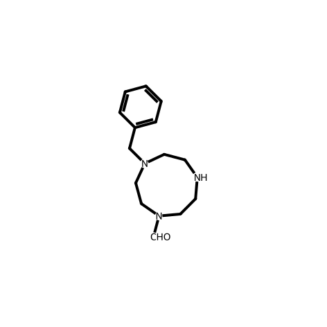 O=CN1CCNCCN(Cc2ccccc2)CC1